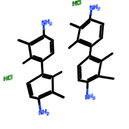 Cc1c(N)ccc(-c2ccc(N)c(C)c2C)c1C.Cc1c(N)ccc(-c2ccc(N)c(C)c2C)c1C.Cl.Cl